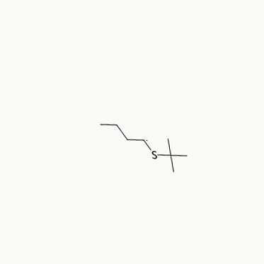 CCC[CH]SC(C)(C)C